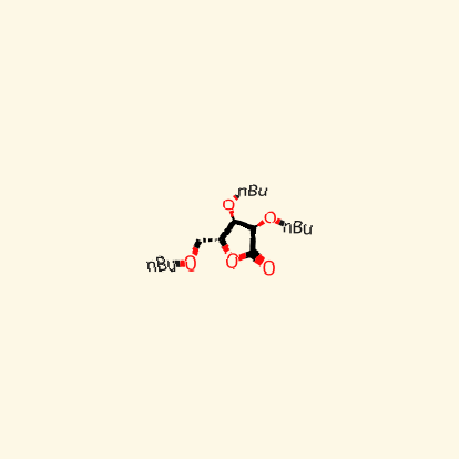 CCCCOC[C@H]1OC(=O)[C@H](OCCCC)[C@@H]1OCCCC